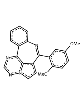 COc1ccc(OC)c(C2=Nc3ccccc3-c3ncnn4ccc2c34)c1